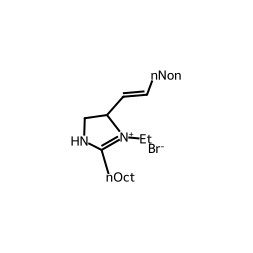 CCCCCCCCCC=CC1CNC(CCCCCCCC)=[N+]1CC.[Br-]